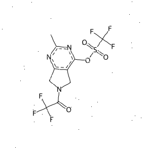 Cc1nc2c(c(OS(=O)(=O)C(F)(F)F)n1)CN(C(=O)C(F)(F)F)C2